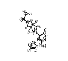 Cc1cc(Nc2ncc(Cl)c(N3C[C@]4(C)CN(C(=O)C5CC5)C[C@]4(C)C3)n2)no1